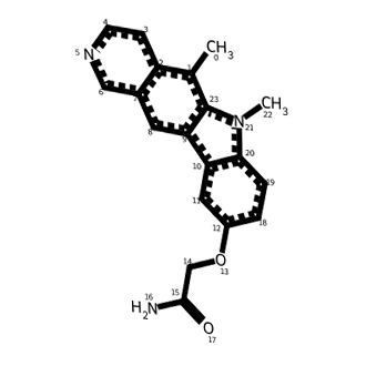 Cc1c2ccncc2cc2c3cc(OCC(N)=O)ccc3n(C)c12